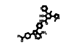 CC1=C(c2ccnn2C)C=C(C(=O)Nc2ccc(-c3cc(C4CCN(C(=O)C(C)C)CC4)n4ncnc(N)c34)cc2)C(O)N1c1cccnc1